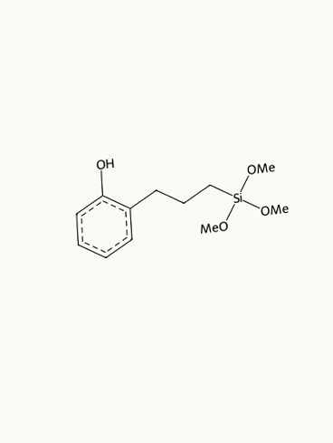 CO[Si](CCCc1ccccc1O)(OC)OC